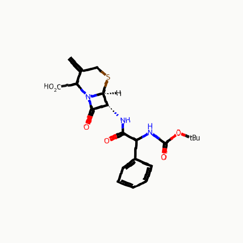 C=C1CS[C@H]2[C@H](NC(=O)C(NC(=O)OC(C)(C)C)c3ccccc3)C(=O)N2C1C(=O)O